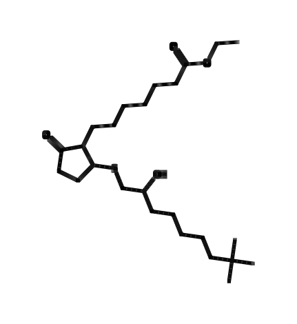 CCOC(=O)CCCCCCC1C(=O)CCC1SCC(O)CCCCCC(C)(C)C